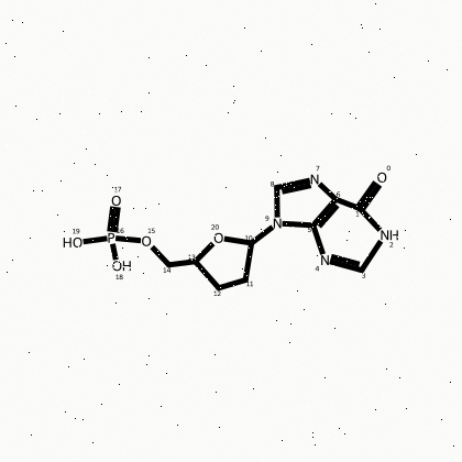 O=c1[nH]cnc2c1ncn2C1CCC(COP(=O)(O)O)O1